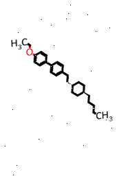 CCCCC[C@H]1CC[C@H](CCc2ccc(-c3ccc(OCC)cc3)cc2)CC1